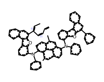 C=C/C=C\C(=C/C)c1cc2ccccc2c2c1oc1c(N(c3ccccc3)c3ccc4c(C)cc5c(N(c6ccccc6)c6cccc7c6oc6c(-c8ccccc8)cc8ccccc8c67)ccc6cc(C)c3c4c65)cccc12